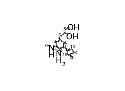 CNc1cc(CC(O)CO)cc(-c2ccsc2)c1N